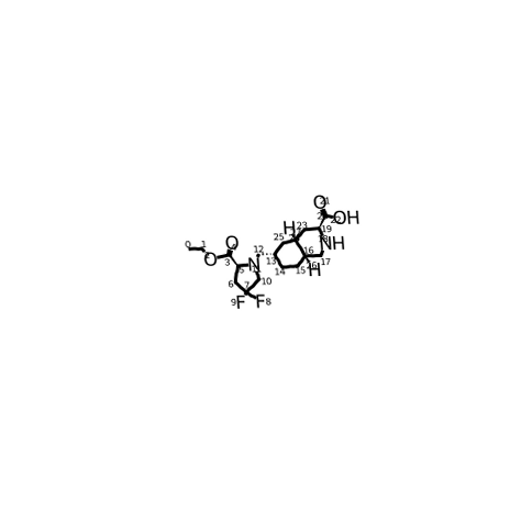 CCOC(=O)[C@@H]1CC(F)(F)CN1C[C@H]1CC[C@H]2CN[C@H](C(=O)O)C[C@H]2C1